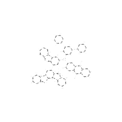 Cc1c2ccccc2c(C)c2cc3c(cc12)B1c2c(cc4c(oc5ccccc54)c2-c2cc4c5ccccc5oc4c4c5ccccc5n1c24)N3c1cc(-c2ccccc2)cc(-c2ccccc2)c1